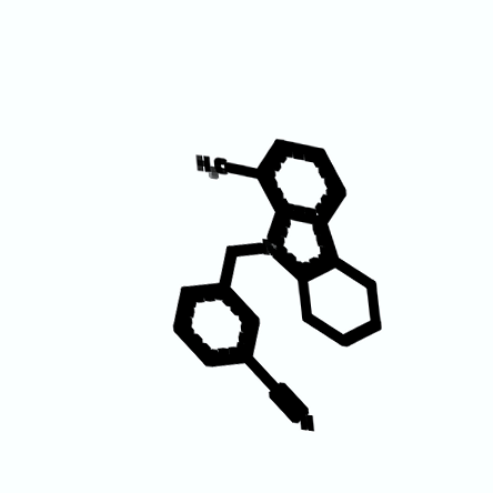 Cc1cccc2c3c(n(Cc4cccc(C#N)c4)c12)CCCC3